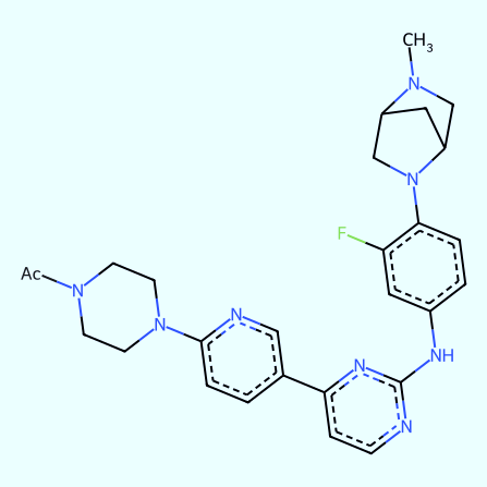 CC(=O)N1CCN(c2ccc(-c3ccnc(Nc4ccc(N5CC6CC5CN6C)c(F)c4)n3)cn2)CC1